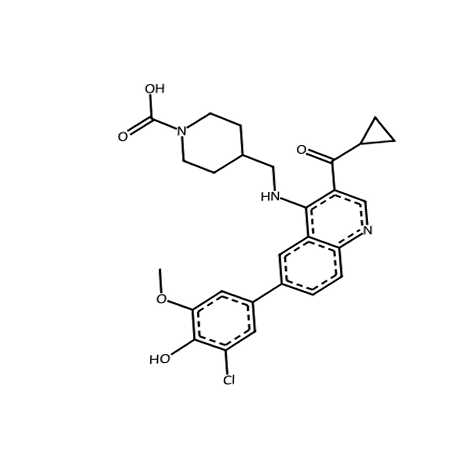 COc1cc(-c2ccc3ncc(C(=O)C4CC4)c(NCC4CCN(C(=O)O)CC4)c3c2)cc(Cl)c1O